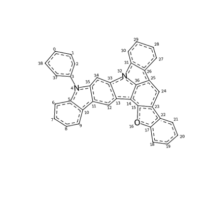 c1ccc(-n2c3ccccc3c3cc4c5c6oc7ccccc7c6cc6c7ccccc7n(c4cc32)c65)cc1